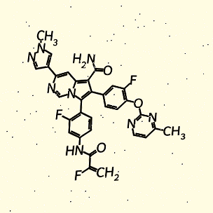 C=C(F)C(=O)Nc1ccc(-c2c(-c3ccc(Oc4nccc(C)n4)c(F)c3)c(C(N)=O)c3cc(-c4cnn(C)c4)ncn23)c(F)c1